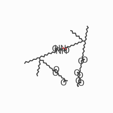 C=CC(=O)OCCOC(=O)CCCCCOC(=O)CCCCCCCCC(CCCCCCCC)C(CCCCCCCC)CCCCCCCCC(=O)NCCNC(=O)CCCCCCCCC(CCCCCCCC)C(CCCCCCCC)CCCCCCCCC(=O)OCCCCCC(C)=O